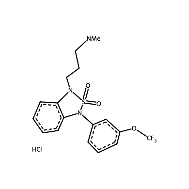 CNCCCN1c2ccccc2N(c2cccc(OC(F)(F)F)c2)S1(=O)=O.Cl